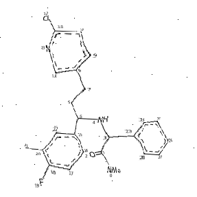 CNC(=O)C(NC(CCc1ccc(Cl)nc1)c1ccc(F)c(C)c1)c1ccccc1